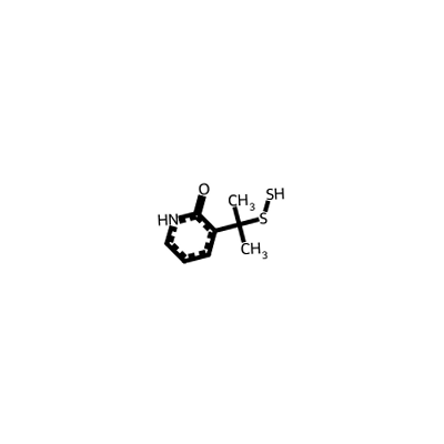 CC(C)(SS)c1ccc[nH]c1=O